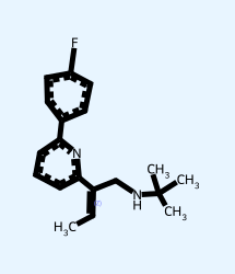 C/C=C(/CNC(C)(C)C)c1cccc(-c2ccc(F)cc2)n1